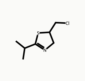 CC(C)C1=NCC(CCl)S1